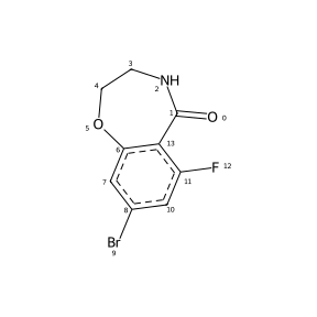 O=C1NCCOc2cc(Br)cc(F)c21